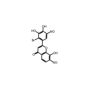 O=Nc1cc(-c2cc(=O)c3ccc(N=O)c(O)c3o2)c(Br)c(O)c1O